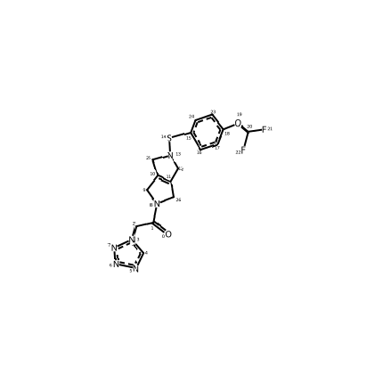 O=C(Cn1cnnn1)N1CC2=C(CN(Sc3ccc(OC(F)F)cc3)C2)C1